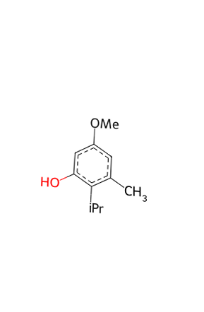 COc1cc(C)c(C(C)C)c(O)c1